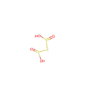 O=S(O)SS(=O)O